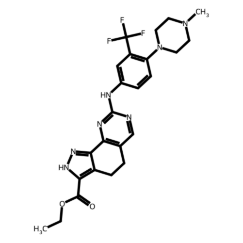 CCOC(=O)c1[nH]nc2c1CCc1cnc(Nc3ccc(N4CCN(C)CC4)c(C(F)(F)F)c3)nc1-2